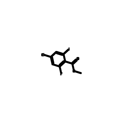 COC(=O)c1c(F)cc(Cl)cc1I